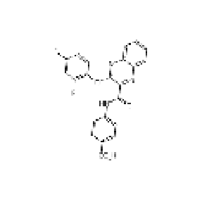 O=C(O)c1ccc(NC(=O)c2nc3ccccc3nc2Oc2ccc(F)cc2F)cc1